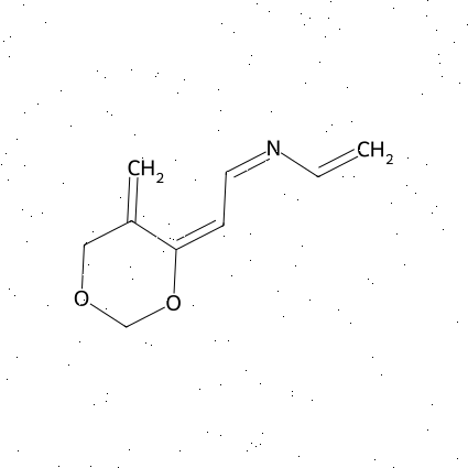 C=C/N=C\C=C1\OCOCC1=C